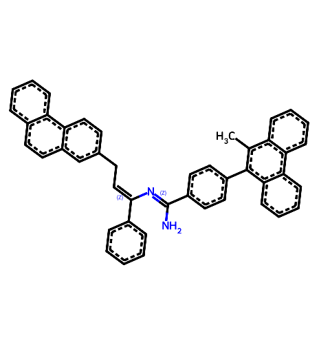 Cc1c(-c2ccc(/C(N)=N/C(=C\Cc3ccc4c(ccc5ccccc54)c3)c3ccccc3)cc2)c2ccccc2c2ccccc12